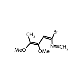 C=N/C(Br)=C\C(OC)=C(/C)OC